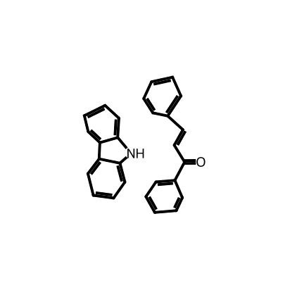 O=C(C=Cc1ccccc1)c1ccccc1.c1ccc2c(c1)[nH]c1ccccc12